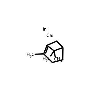 CC1=C2CC(CC1)C2(C)C.[Ga].[In]